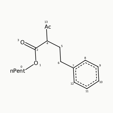 CCCCCOC(=O)C(CCc1ccccc1)C(C)=O